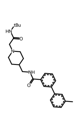 Cc1cccc(-c2cccc(C(=O)NCC3CCN(CC(=O)NC(C)(C)C)CC3)c2)c1